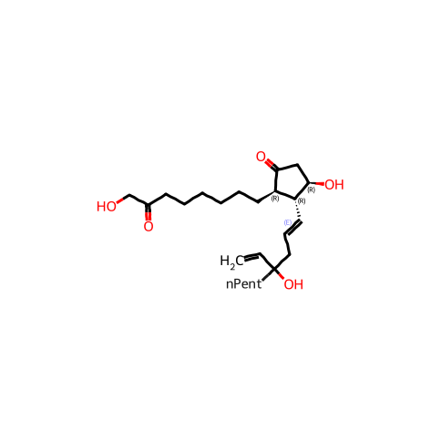 C=CC(O)(C/C=C/[C@H]1[C@H](O)CC(=O)[C@@H]1CCCCCCC(=O)CO)CCCCC